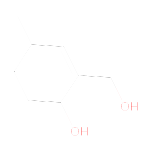 CC1C=C(CO)C(O)CC1